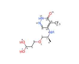 C[C@@H](COCCC(O)O)Nc1cn[nH]c(=O)c1C(F)(F)F